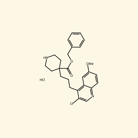 COc1ccc2ncc(Cl)c(CCCC3(C(=O)OCc4ccccc4)CCNCC3)c2c1.Cl